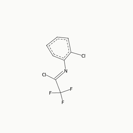 FC(F)(F)C(Cl)=Nc1ccccc1Cl